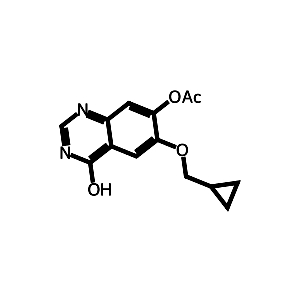 CC(=O)Oc1cc2ncnc(O)c2cc1OCC1CC1